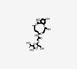 C[C@@H]1C/C=C/[C@@H](NC(=O)CS[C@@H](OC(CO)[C@@H](C)O)[C@H](O)CO)C/C=C/C(=N)Cc2cc(O)cc(O)c2C(=O)O1